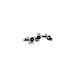 COc1cc2c(Oc3ccc(NC(=O)NC(C)C)c(Cl)c3)ncnc2cc1OCCCC(=O)N1CCC2(CC1)COC2